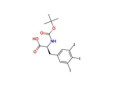 CC(C)(C)OC(=O)N[C@@H](Cc1cc(I)c(I)c(I)c1)C(=O)O